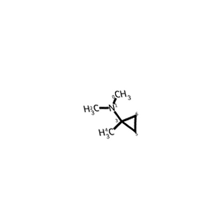 CN(C)C1(C)CC1